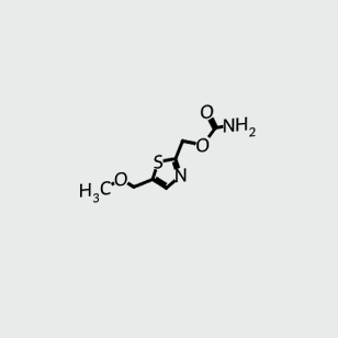 COCc1cnc(COC(N)=O)s1